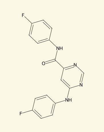 O=C(Nc1ccc(F)cc1)c1cc(Nc2ccc(F)cc2)ncn1